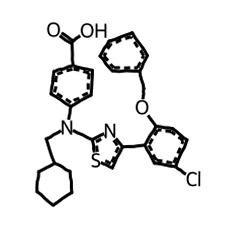 O=C(O)c1ccc(N(CC2CCCCC2)c2nc(-c3cc(Cl)ccc3OCc3ccccc3)cs2)cc1